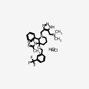 Cc1nnnn1C1(OCc2cccc(C(F)(F)F)c2)CCCN(Cc2nn[nH]c2CN(C)C)C1c1ccccc1.Cl.Cl